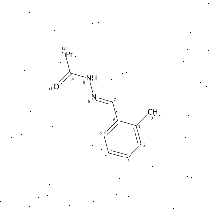 Cc1ccccc1C=NNC(=O)C(C)C